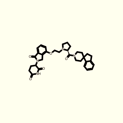 O=C1CCC(N2Cc3c(OCCN4CCC[C@H]4C(=O)N4CCC5(CCc6ccccc65)CC4)cccc3C2=O)C(=O)N1